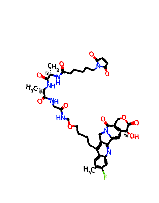 Cc1cc2c(CCCCOCNC(=O)CNC(=O)[C@H](C)NC(=O)[C@H](C)NC(=O)CCCCCN3C(=O)C=CC3=O)c3c(nc2cc1F)-c1cc2c(c(=O)n1C3)COC(=O)[C@H]2O